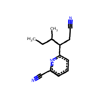 CCC(C)C(CC#N)c1cccc(C#N)n1